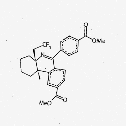 COC(=O)c1ccc(C2=N[C@@]3(CC(F)(F)F)CCCC[C@@]3(C)c3cc(C(=O)OC)ccc32)cc1